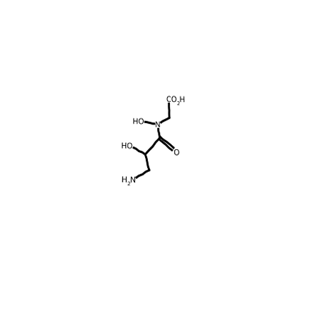 NCC(O)C(=O)N(O)CC(=O)O